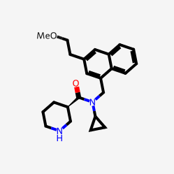 COCCc1cc(CN(C(=O)[C@@H]2CCCNC2)C2CC2)c2ccccc2c1